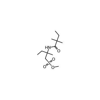 CCC(C)(CS(=O)(=O)OC)NC(=O)C(C)(C)CC